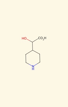 O=C(O)C(O)C1CCNCC1